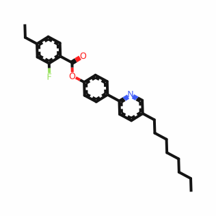 CCCCCCCCc1ccc(-c2ccc(OC(=O)c3ccc(CC)cc3F)cc2)nc1